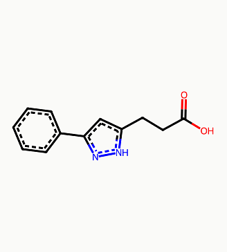 O=C(O)CCc1cc(-c2ccccc2)n[nH]1